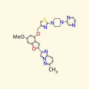 COc1cc(OCc2csc(N3CCN(c4cnccn4)CC3)n2)c2cc(-c3cn4nc(C)ccc4n3)oc2c1